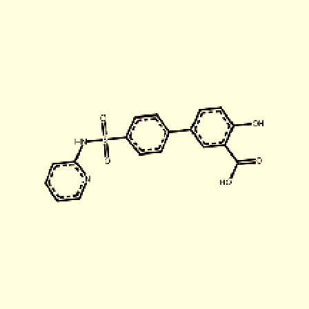 O=C(O)c1cc(-c2ccc(S(=O)(=O)Nc3ccccn3)cc2)ccc1O